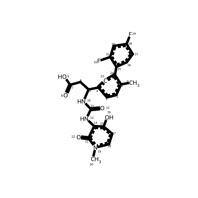 Cc1ccc(C(CC(=O)O)NC(=O)Nc2c(O)ccn(C)c2=O)cc1-c1ccc(F)cc1F